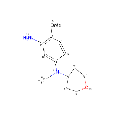 COc1ccc(N(C)C2CCOCC2)cc1N